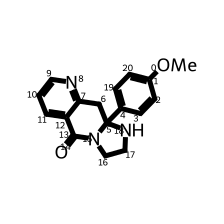 COc1ccc(C23Cc4ncccc4C(=O)N2CCN3)cc1